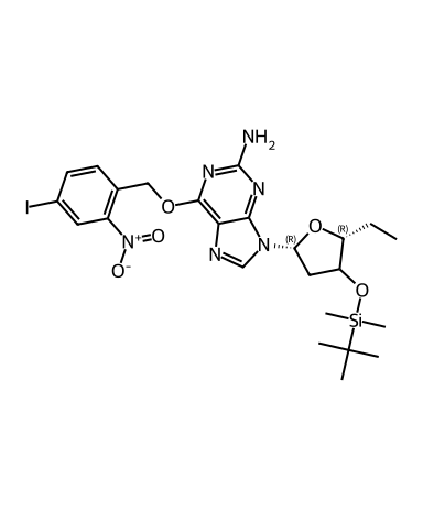 CC[C@H]1O[C@@H](n2cnc3c(OCc4ccc(I)cc4[N+](=O)[O-])nc(N)nc32)CC1O[Si](C)(C)C(C)(C)C